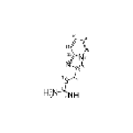 N=C(N)SCc1cn2ccccc2n1